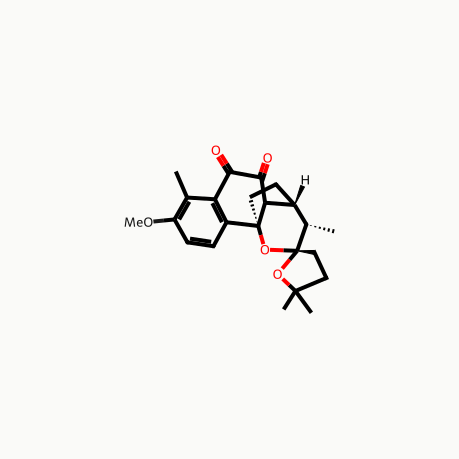 COc1ccc2c(c1C)C(=O)C(=O)C1[C@@H]3CC[C@]21O[C@]1(CCC(C)(C)O1)[C@H]3C